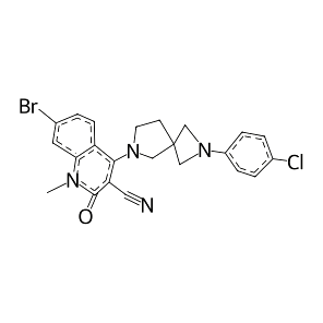 Cn1c(=O)c(C#N)c(N2CCC3(CN(c4ccc(Cl)cc4)C3)C2)c2ccc(Br)cc21